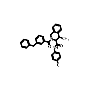 CC1c2ccccc2CN(C(=O)c2cccc(Cc3ccccc3)c2)C1C(=O)Nc1ccc(Cl)cc1